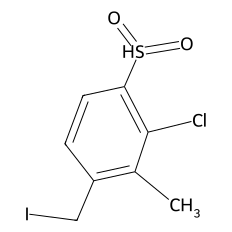 Cc1c(CI)ccc([SH](=O)=O)c1Cl